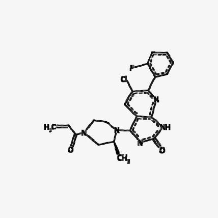 C=CC(=O)N1CCN(c2nc(=O)[nH]c3nc(-c4ccccc4F)c(Cl)cc23)[C@@H](C)C1